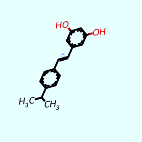 CC(C)c1ccc(/C=C/c2cc(O)cc(O)c2)cc1